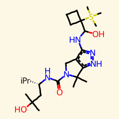 CC(C)[C@@H](CC(C)(C)O)NC(=O)N1Cc2c(NC(O)C3(S(C)(C)C)CCC3)n[nH]c2C1(C)C